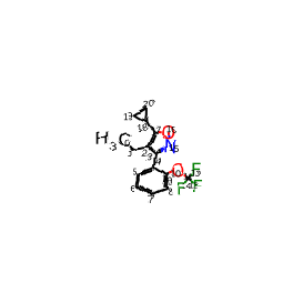 CCc1c(-c2ccccc2OC(F)(F)F)noc1C1CC1